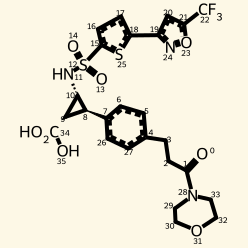 O=C(CCc1ccc([C@H]2C[C@@H]2NS(=O)(=O)c2ccc(-c3cc(C(F)(F)F)on3)s2)cc1)N1CCOCC1.O=C(O)O